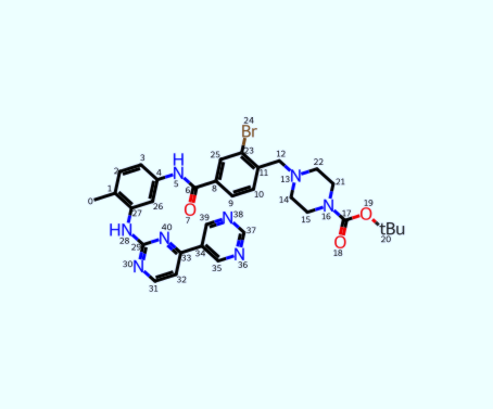 Cc1ccc(NC(=O)c2ccc(CN3CCN(C(=O)OC(C)(C)C)CC3)c(Br)c2)cc1Nc1nccc(-c2cncnc2)n1